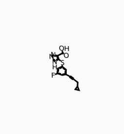 O=C(O)c1nn[nH]c1Sc1cc(F)cc(C#CCC2CC2)c1